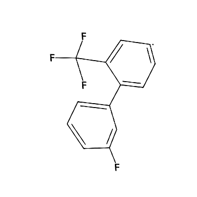 Fc1cccc(-c2cc[c]cc2C(F)(F)F)c1